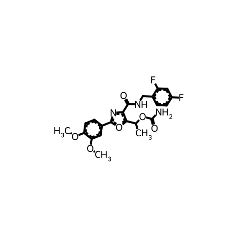 COc1ccc(-c2nc(C(=O)NCc3ccc(F)cc3F)c(C(C)OC(N)=O)o2)cc1OC